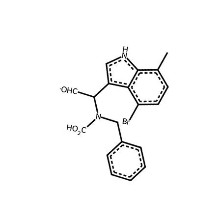 Cc1ccc(Br)c2c(C([C]=O)N(Cc3ccccc3)C(=O)O)c[nH]c12